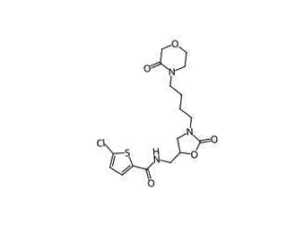 O=C(NCC1CN(CCCCN2CCOCC2=O)C(=O)O1)c1ccc(Cl)s1